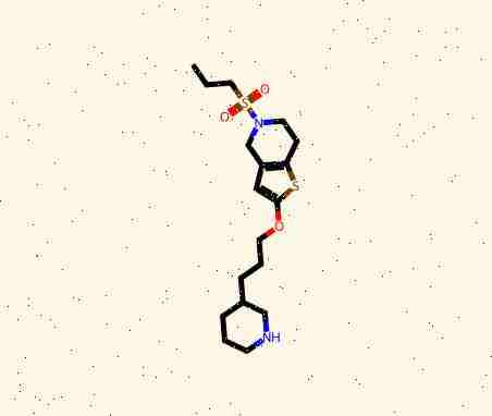 CCCS(=O)(=O)N1CCc2sc(OCCCC3CCCNC3)cc2C1